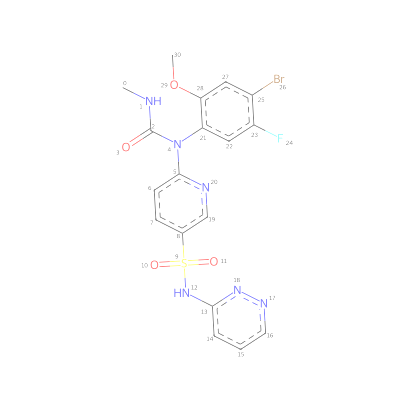 CNC(=O)N(c1ccc(S(=O)(=O)Nc2cccnn2)cn1)c1cc(F)c(Br)cc1OC